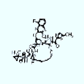 Cc1cnc(C(=O)N[C@H]2CCCCCC=C[C@@H]3C[C@@]3(C(=O)NS(=O)(=O)C3(C)CC3)NC(=O)[C@@H]3C[C@@H](Oc4nc5c(F)cccc5nc4C)CN3C2=O)s1